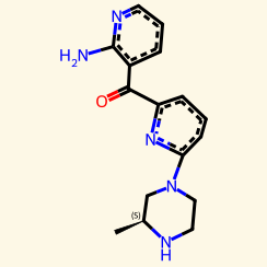 C[C@H]1CN(c2cccc(C(=O)c3cccnc3N)n2)CCN1